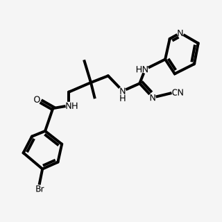 CC(C)(CNC(=O)c1ccc(Br)cc1)CNC(=NC#N)Nc1cccnc1